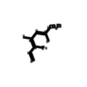 C=C/C(F)=C(C)/C=C(\C)C(=O)OCC